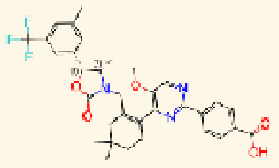 COc1cnc(-c2ccc(C(=O)O)cc2)nc1C1=C(CN2C(=O)O[C@H](c3cc(C)cc(C(F)(F)F)c3)[C@@H]2C)CC(C)(C)CC1